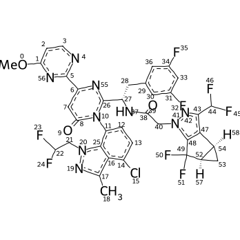 COc1ccnc(-c2cc(=O)n(-c3ccc(Cl)c4c(C)nn(CC(F)F)c34)c([C@H](Cc3cc(F)cc(F)c3)NC(=O)Cn3nc(C(F)F)c4c3C(F)(F)[C@@H]3C[C@H]43)n2)n1